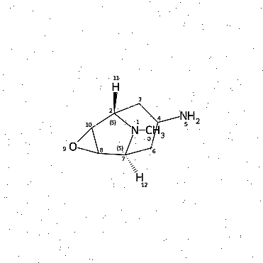 CN1[C@H]2CC(N)C[C@H]1C1OC12